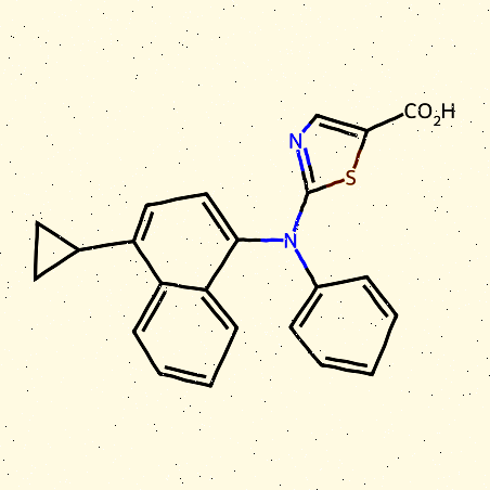 O=C(O)c1cnc(N(c2ccccc2)c2ccc(C3CC3)c3ccccc23)s1